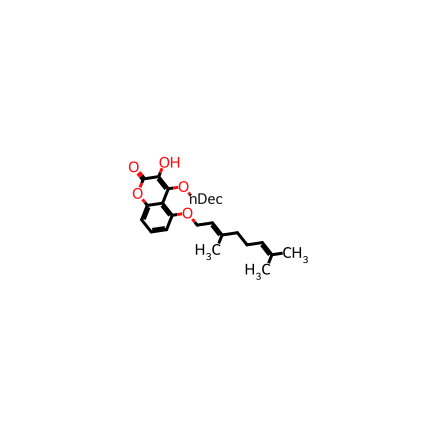 CCCCCCCCCCOc1c(O)c(=O)oc2cccc(OC/C=C(\C)CCC=C(C)C)c12